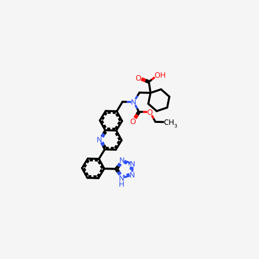 CCOC(=O)N(Cc1ccc2nc(-c3ccccc3-c3nnn[nH]3)ccc2c1)CC1(C(=O)O)CCCCC1